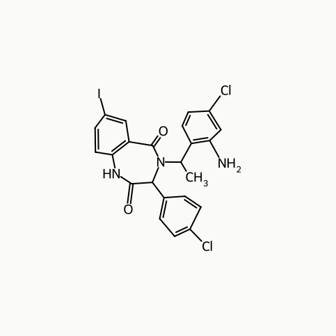 CC(c1ccc(Cl)cc1N)N1C(=O)c2cc(I)ccc2NC(=O)C1c1ccc(Cl)cc1